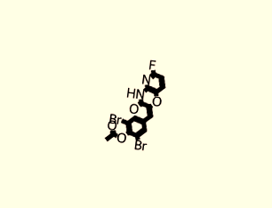 CC(=O)Oc1c(Br)cc(C=C2Oc3ccc(F)nc3NC2=O)cc1Br